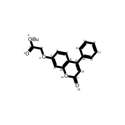 CC(C)COC(=O)COc1ccc2c(-c3ccccc3)cc(=O)oc2c1